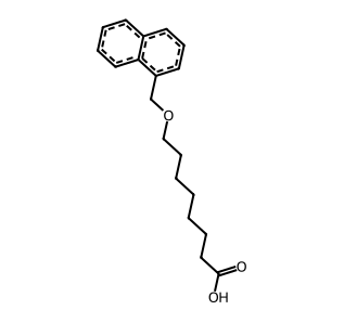 O=C(O)CCCCCCCOCc1cccc2ccccc12